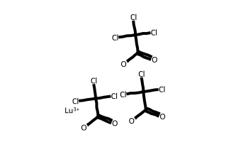 O=C([O-])C(Cl)(Cl)Cl.O=C([O-])C(Cl)(Cl)Cl.O=C([O-])C(Cl)(Cl)Cl.[Lu+3]